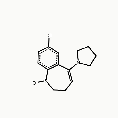 [O-][S+]1CCC=C(N2CCCC2)c2cc(Cl)ccc21